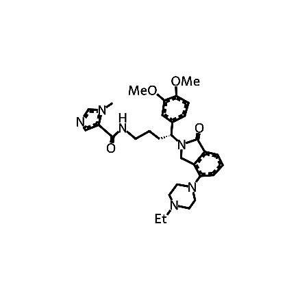 CCN1CCN(c2cccc3c2CN([C@H](CCCNC(=O)c2cncn2C)c2ccc(OC)c(OC)c2)C3=O)CC1